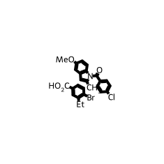 CCc1cc(C(=O)O)ccc1Br.COc1ccc2c(c1)cc(C)n2C(=O)c1ccc(Cl)cc1